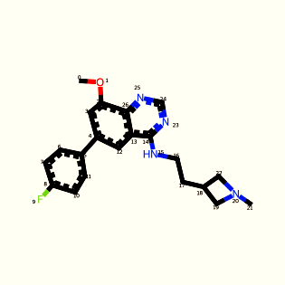 COc1cc(-c2ccc(F)cc2)cc2c(NCCC3CN(C)C3)ncnc12